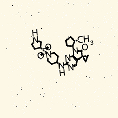 CC1CCCC1N1C(=O)C2(CC2)c2cnc(NC3CCN(S(=O)(=O)C4CCNC4)CC3)nc21